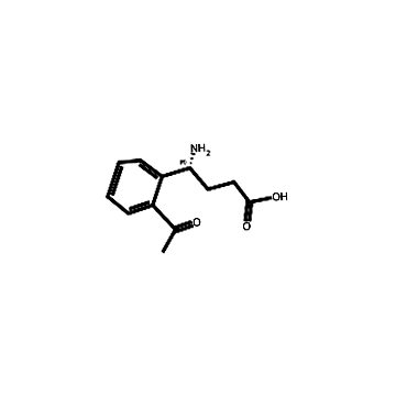 CC(=O)c1ccccc1[C@H](N)CCC(=O)O